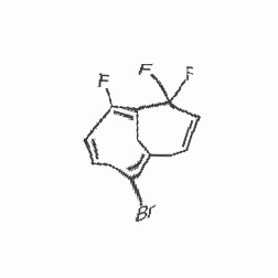 Fc1ccc(Br)c2c1C(F)(F)C=C2